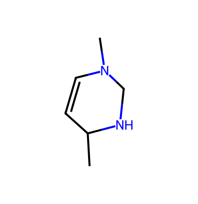 CC1C=CN(C)CN1